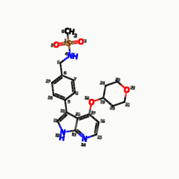 CS(=O)(=O)NCc1ccc(-c2c[nH]c3nccc(OC4CCOCC4)c23)cc1